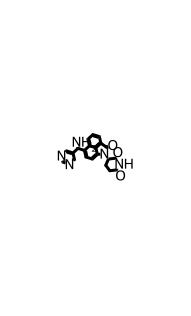 NC(c1cncnc1)c1ccc2c3c(cccc13)C(=O)N2C1CCC(=O)NC1=O